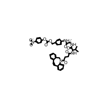 CC(C)C(NC(=O)CCC(=O)N1Cc2ccccc2C#Cc2ccccc21)C(=O)N[C@@H](C)C(=O)Nc1ccc(COC(=O)Oc2ccc([N+](=O)[O-])cc2)cc1